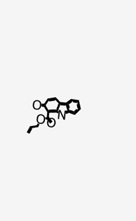 C=CCOC(=O)C1=C2N=c3ccccc3=C2C=CC1=O